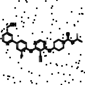 C#Cc1c(Oc2ccc(-c3cc(CO)ccn3)cc2F)ncnc1OC1CCN(C(=O)OC(C)C)CC1